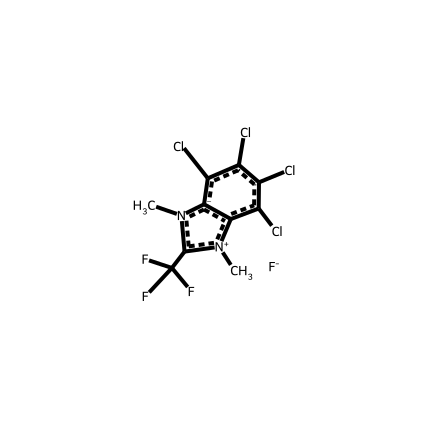 Cn1c(C(F)(F)F)[n+](C)c2c(Cl)c(Cl)c(Cl)c(Cl)c21.[F-]